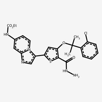 CCOC(=O)Nc1ccn2c(-c3cc(OC(C)(C)c4ccccc4Cl)c(C(=O)NN)s3)cnc2c1